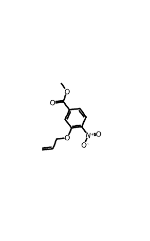 C=CCOc1cc(C(=O)OC)ccc1[N+](=O)[O-]